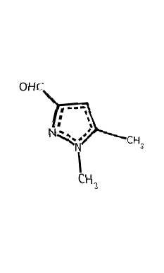 Cc1cc(C=O)nn1C